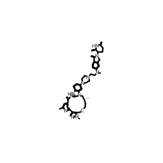 C=C1CCC(N2Cc3cc(N(C)CCN4CCN(c5ccc6c(c5)N5C[C@H](C)CCCCc7c(cnn7C)-c7cc(cc(C)n7)C(=C)/N=C/5N6)CC4)ccc3C2=C)C(=C)N1